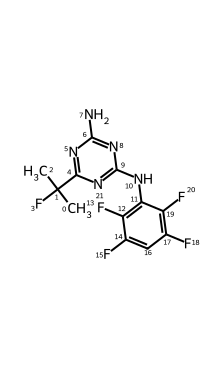 CC(C)(F)c1nc(N)nc(Nc2c(F)c(F)cc(F)c2F)n1